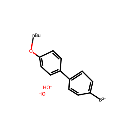 [B+2]c1ccc(-c2ccc(OCCCC)cc2)cc1.[OH-].[OH-]